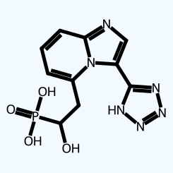 O=P(O)(O)C(O)Cc1cccc2ncc(-c3nnn[nH]3)n12